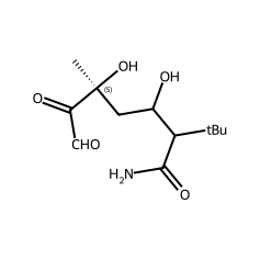 CC(C)(C)C(C(N)=O)C(O)C[C@](C)(O)C(=O)C=O